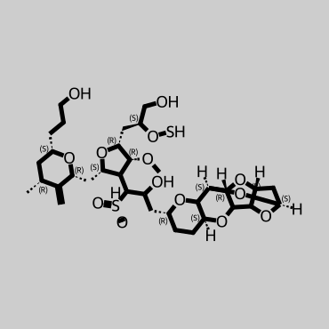 C=C1[C@H](C)C[C@H](CCCO)O[C@@H]1C[C@@H]1O[C@H](C[C@@H](CO)OS)[C@H](OC)C1C(C(O)C[C@H]1CC[C@@H]2OC3C4O[C@@H]5C[C@H]4O[C@H]3[C@@H](O5)C2O1)[SH](=O)=O